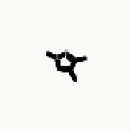 [CH2]n1cc(C)c(C)n1